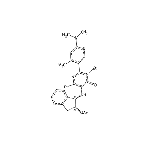 CCc1nc(-c2cnc(N(C)C)cc2C)n(CC)c(=O)c1N[C@@H]1c2ccccc2C[C@@H]1OC(C)=O